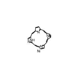 C1=Cc2cc3cnc(cc4nc(cc5ccc(cc1n2)[nH]5)C=C4)[nH]3.[Ni]